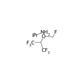 CC(C)N.FCOC(C(F)(F)F)C(F)(F)F